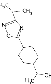 CC(C)c1noc(C2CCC(C(C)O)CC2)n1